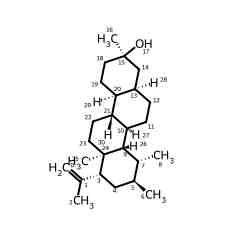 C=C(C)[C@H]1C[C@H](C)[C@@H](C)[C@H]2[C@@H]3CC[C@@H]4C[C@](C)(O)CC[C@@H]4[C@H]3CC[C@@]21C